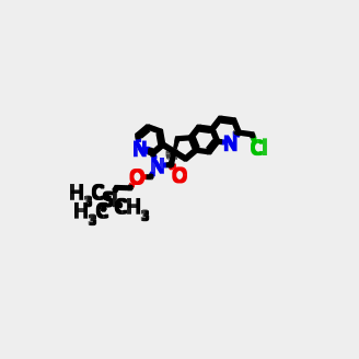 C[Si](C)(C)CCOCN1C(=O)[C@]2(Cc3cc4ccc(CCl)nc4cc3C2)c2cccnc21